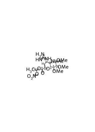 COC[C@@H](OC)[C@@H](OC)[C@@H]1OC(C(=O)OC(C)O[N+](=O)[O-])=C[C@H](NC(=N)N)[C@H]1NC(C)=O